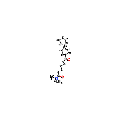 CN(C)C(=O)CCCCCC(=O)c1ccc(-c2ccccc2)cc1